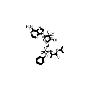 CC(C)OC(=O)C(C)NP(=O)(OC[C@H]1O[C@@H](n2cnc3c(N)ncnc32)[C@@](F)(Cl)[C@@H]1O)Oc1ccccc1